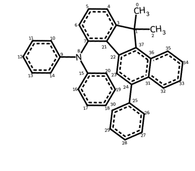 CC1(C)c2cccc(N(c3ccccc3)c3ccccc3)c2-c2cc(-c3ccccc3)c3ccccc3c21